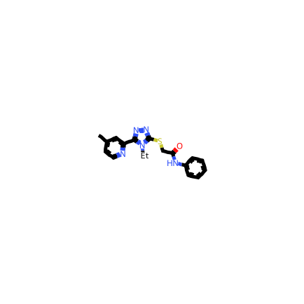 CCn1c(SCC(=O)Nc2ccccc2)nnc1-c1cc(C)ccn1